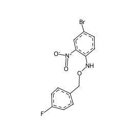 O=[N+]([O-])c1cc(Br)ccc1NOCc1ccc(F)cc1